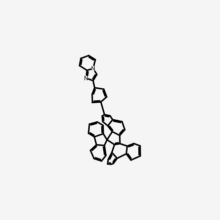 c1ccc2c(c1)-c1ccccc1C21c2c(ccc3cc(-c4ccc(-c5cn6ccccc6n5)cc4)ccc23)-c2c1c1ccccc1c1ccccc21